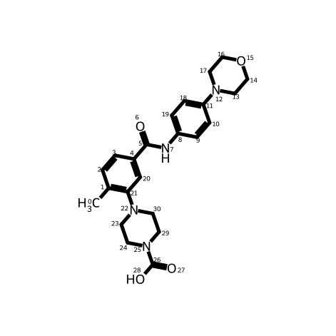 Cc1ccc(C(=O)Nc2ccc(N3CCOCC3)cc2)cc1N1CCN(C(=O)O)CC1